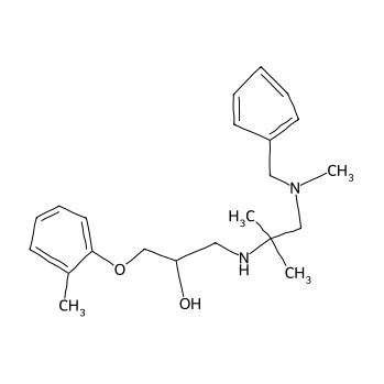 Cc1ccccc1OCC(O)CNC(C)(C)CN(C)Cc1ccccc1